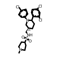 CN1CCC(S(=O)(=O)NC[C@@H]2CCC(c3ccc(Cl)cc3Cl)N(c3ccc(Cl)cc3)C2)CC1